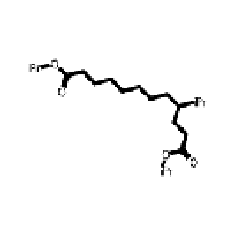 CC(C)OC(=O)CCCCCCCC(CCC(=O)OC(C)C)C(C)C